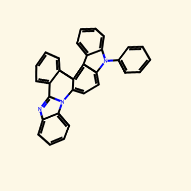 c1ccc(-n2c3ccccc3c3c4c5ccccc5c5nc6ccccc6n5c4ccc32)cc1